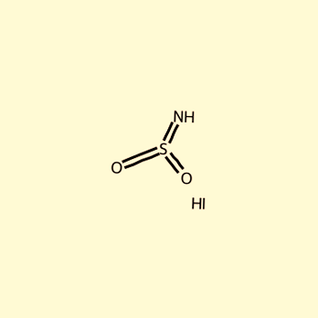 I.N=S(=O)=O